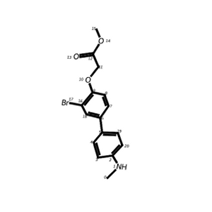 CNc1ccc(-c2ccc(OCC(=O)OC)c(Br)c2)cc1